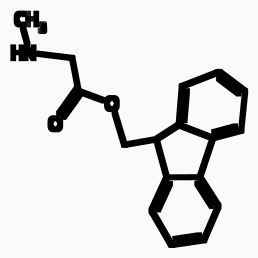 CNCC(=O)OCC1c2ccccc2-c2ccccc21